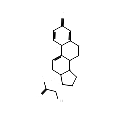 CC(C(=O)Cl)[C@H]1CCC2C3CCC4=CC(=O)C=C[C@]4(C)C3=CC[C@@]21C